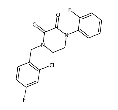 O=C1C(=O)N(c2ccccc2F)CCN1Cc1ccc(F)cc1Cl